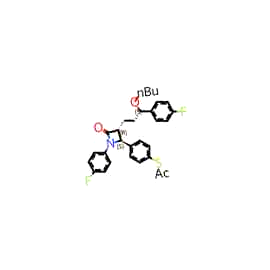 CCCCO[C@@H](CC[C@H]1C(=O)N(c2ccc(F)cc2)[C@@H]1c1ccc(SC(C)=O)cc1)c1ccc(F)cc1